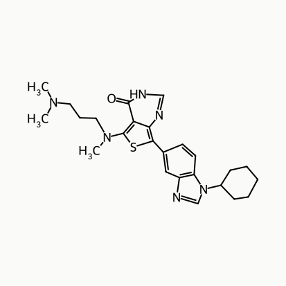 CN(C)CCCN(C)c1sc(-c2ccc3c(c2)ncn3C2CCCCC2)c2nc[nH]c(=O)c12